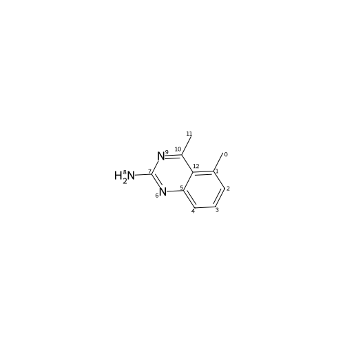 Cc1cccc2nc(N)nc(C)c12